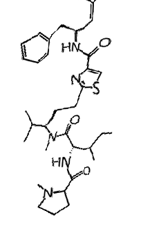 CCC(C)[C@H](NC(=O)C1CCCN1C)C(=O)N(C)[C@H](CCc1nc(C(=O)N[C@H](C=C(C)C)Cc2ccccc2)cs1)C(C)C